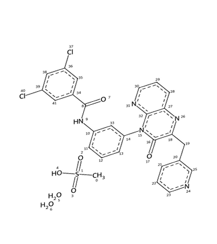 CS(=O)(=O)O.O.O.O=C(Nc1cccc(-n2c(=O)c(Cc3cccnc3)nc3cccnc32)c1)c1cc(Cl)cc(Cl)c1